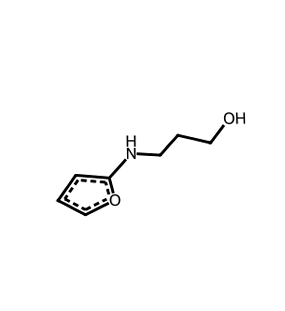 OCCCNc1ccco1